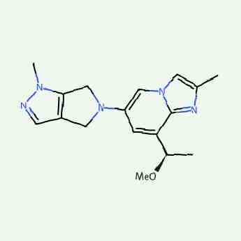 CO[C@H](C)c1cc(N2Cc3cnn(C)c3C2)cn2cc(C)nc12